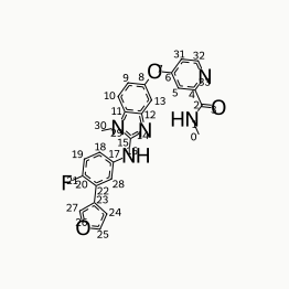 CNC(=O)c1cc(Oc2ccc3c(c2)nc(Nc2ccc(F)c(-c4ccoc4)c2)n3C)ccn1